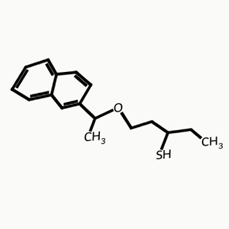 CCC(S)CCOC(C)c1ccc2ccccc2c1